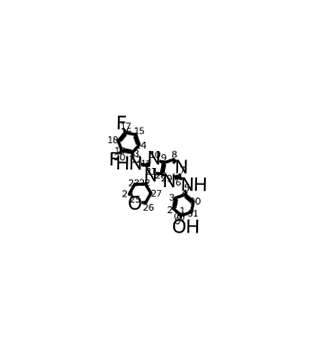 O[C@H]1C=CC(Nc2ncc3nc(Nc4ccc(F)cc4F)n(C4CCOCC4)c3n2)=CC1